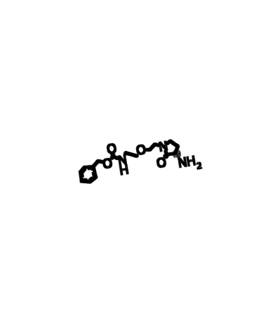 N[C@H]1CCN(CCOCCNC(=O)OCc2ccccc2)C1=O